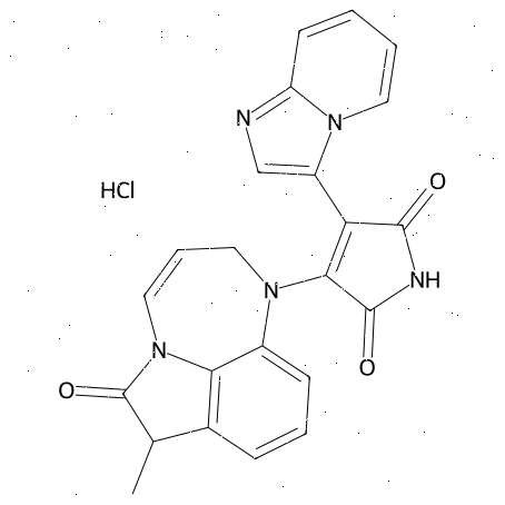 CC1C(=O)N2C=CCN(C3=C(c4cnc5ccccn45)C(=O)NC3=O)c3cccc1c32.Cl